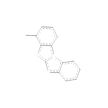 Cc1cccc2c1nc1[nH]c3ccccc3n12